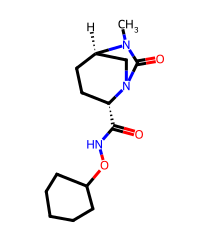 CN1C(=O)N2C[C@H]1CC[C@H]2C(=O)NOC1CCCCC1